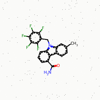 Cc1c[c]c2c3c(C(N)=O)cccc3n(Cc3c(F)c(F)c(F)c(F)c3F)c2c1